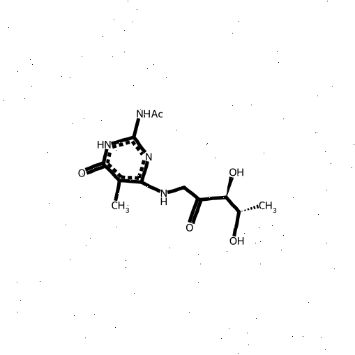 CC(=O)Nc1nc(NCC(=O)[C@@H](O)[C@H](C)O)c(C)c(=O)[nH]1